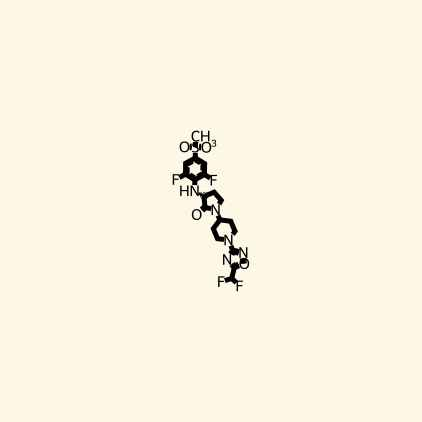 CS(=O)(=O)c1cc(F)c(N[C@H]2CCN(C3CCN(c4noc(C(F)F)n4)CC3)C2=O)c(F)c1